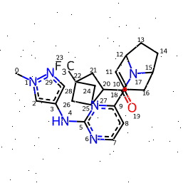 Cn1cc(Nc2nccc(C3=CC4CCC(C3)N4C(=O)C3CC4(C(F)(F)F)CC3C4)n2)cn1